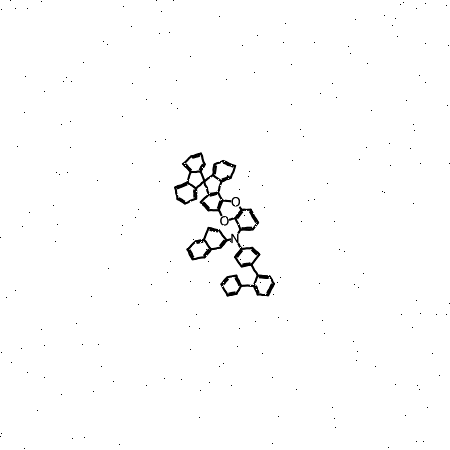 c1ccc(-c2ccccc2-c2ccc(N(c3ccc4ccccc4c3)c3cccc4c3Oc3ccc5c(c3O4)-c3ccccc3C53c4ccccc4-c4ccccc43)cc2)cc1